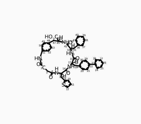 O=C1CCC(=O)N[C@@H](Cc2cccs2)C(=O)N[C@@H](Cc2ccc(-c3ccccc3)cc2)C(=O)N[C@@H](Cc2ccccc2)C(=O)N[C@@H](C(=O)O)Cc2ccc(cc2)N1